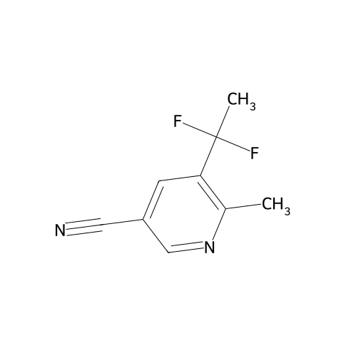 Cc1ncc(C#N)cc1C(C)(F)F